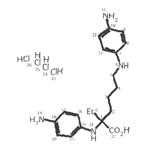 CCC(CCCCNc1ccc(N)cc1)(Nc1ccc(N)cc1)C(=O)O.Cl.Cl.Cl.Cl